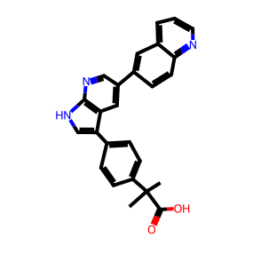 CC(C)(C(=O)O)c1ccc(-c2c[nH]c3ncc(-c4ccc5ncccc5c4)cc23)cc1